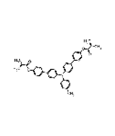 C=C(C)C(=O)Oc1ccc(-c2ccc(N(c3ccc(C)cc3)c3ccc(-c4ccc(OC(=O)C(=C)C)cc4)cc3)cc2)cc1